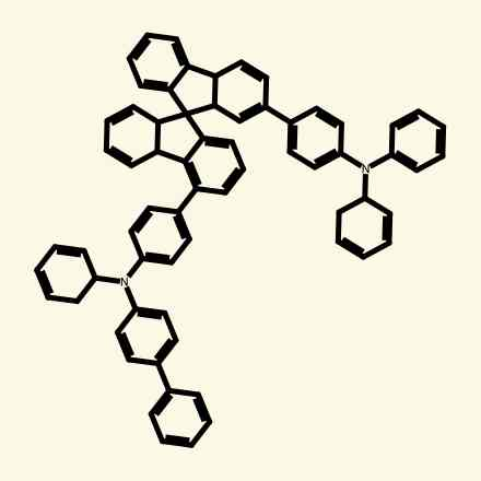 C1=CCC(N(c2ccccc2)c2ccc(C3=CC4C(C=C3)c3ccccc3C43c4cccc(-c5ccc(N(c6ccc(-c7ccccc7)cc6)C6C=CC=CC6)cc5)c4C4C=CC=CC43)cc2)C=C1